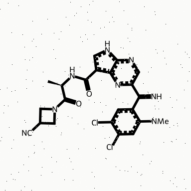 CNc1cc(Cl)c(Cl)cc1C(=N)c1cnc2[nH]cc(C(=O)N[C@H](C)C(=O)N3CC(C#N)C3)c2n1